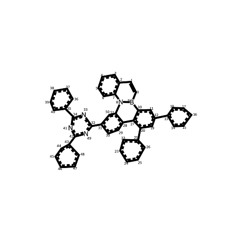 C1=Cc2ccccc2N2B1c1cc(-c3ccccc3)cc(-c3ccccc3)c1-c1ccc(-c3nc(-c4ccccc4)nc(-c4ccccc4)n3)cc12